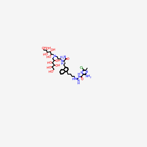 Cc1nc(N)c(C(=O)NC(=N)NCCCCc2ccc(CC[C@@H](NCCCN(CC(O)C(O)C(O)C(O)CO)CC(O)C(O)C(O)C(O)CO)C(N)=O)c3ccccc23)nc1Cl